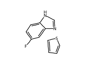 Fc1ccc2[nH]cnc2c1.c1ccsc1